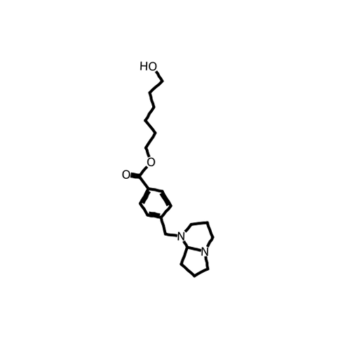 O=C(OCCCCCCO)c1ccc(CN2CCCN3CCCC32)cc1